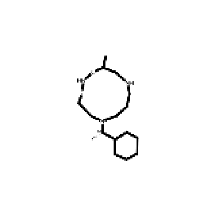 CC1CNCCCN([C@@H](C)C2CCCCC2)CCCNC1